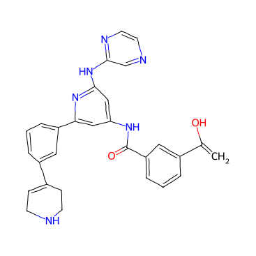 C=C(O)c1cccc(C(=O)Nc2cc(Nc3cnccn3)nc(-c3cccc(C4=CCNCC4)c3)c2)c1